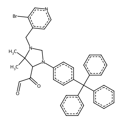 CC1(C)C(C(=O)C=O)N(c2ccc(C(c3ccccc3)(c3ccccc3)c3ccccc3)cc2)CN1Cc1ccncc1Br